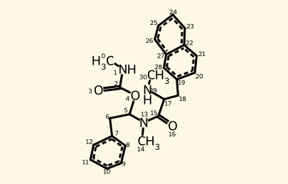 CNC(=O)OC(Cc1ccccc1)N(C)C(=O)C(Cc1ccc2ccccc2c1)NC